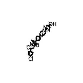 Cc1nn(CC(=O)c2ccc(Cl)cc2)c(=O)n1-c1ccc(N2CCN(c3ncc(O)cn3)CC2)cc1